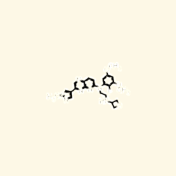 COc1cc(OC)c(F)c(N(CCNC2COC2)c2ccc3ncc(-c4cnn(C)c4)nc3n2)c1